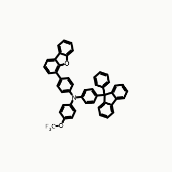 FC(F)(F)Oc1ccc(N(c2ccc(-c3cccc4c3oc3ccccc34)cc2)c2ccc(C3(c4ccccc4)c4ccccc4-c4ccccc43)cc2)cc1